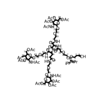 C#CCCOP(OCCOCCC(=O)NC(C(=O)NCCOCCOC1OC(COC(C)=O)C(OC(C)=O)C(OC(C)=O)C1NC(C)=O)C(=O)NC(CCC(=O)NCCOCCOC1OC(COC(C)=O)C(OC(C)=O)C(OC(C)=O)C1NC(C)=O)C(=O)NCCOCCOC1OC(COC(C)=O)C(CC(C)=O)C(OC(C)=O)C1NC(C)=O)N(C(C)C)C(C)C